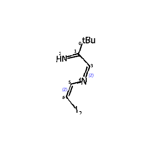 CC(C)(C)C(=N)/C=N\C=C/I